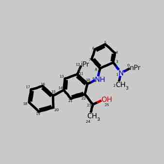 CCCN(C)c1ccccc1Nc1c(C(C)C)cc(-c2ccccc2)cc1C(C)O